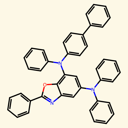 c1ccc(-c2ccc(N(c3ccccc3)c3cc(N(c4ccccc4)c4ccccc4)cc4nc(-c5ccccc5)oc34)cc2)cc1